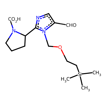 C[Si](C)(C)CCOCn1c(C=O)cnc1C1CCCN1C(=O)O